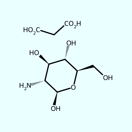 N[C@@H]1[C@@H](O)[C@H](O)[C@@H](CO)O[C@H]1O.O=C(O)CC(=O)O